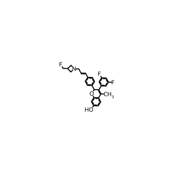 CC1=C(c2cc(F)cc(F)c2)C(c2ccc(/C=C/CN3CC(CF)C3)cc2)Oc2cc(O)ccc21